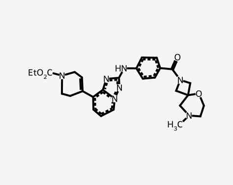 CCOC(=O)N1CC=C(c2cccn3nc(Nc4ccc(C(=O)N5CC6(CN(C)CCO6)C5)cc4)nc23)CC1